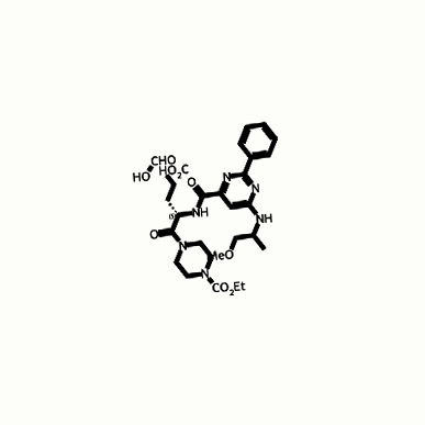 CCOC(=O)N1CCN(C(=O)[C@H](CCC(=O)O)NC(=O)c2cc(NC(C)COC)nc(-c3ccccc3)n2)CC1.O=CO